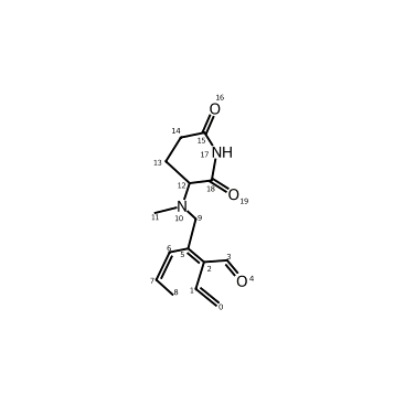 C=C/C(C=O)=C(\C=C/C)CN(C)C1CCC(=O)NC1=O